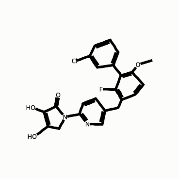 COc1ccc(Cc2ccc(N3CC(O)=C(O)C3=O)nc2)c(F)c1-c1cccc(Cl)c1